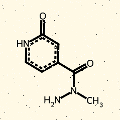 CN(N)C(=O)c1cc[nH]c(=O)c1